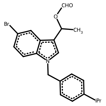 CC(C)c1ccc(Cn2cc(C(C)OC=O)c3cc(Br)ccc32)cc1